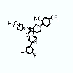 CN1CC[C@@H](NC(=O)C2(c3ccc(-c4cc(F)cc(F)c4)nc3)CCN(c3ccc(C(F)(F)F)cc3C#N)CC2)C1